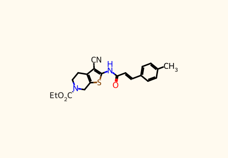 CCOC(=O)N1CCc2c(sc(NC(=O)/C=C/c3ccc(C)cc3)c2C#N)C1